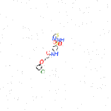 O=C(CCCOc1cccc(Cl)c1)Nc1ccc(S(=O)(=O)Nc2nccs2)cc1